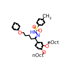 CCCCCCCCOc1ccc(/C(CCCCOc2ccccc2)=N/NS(=O)(=O)c2ccc(C)cc2)cc1OCCCCCCCC